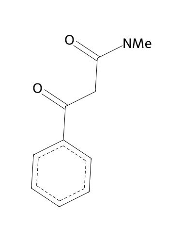 CNC(=O)CC(=O)c1ccccc1